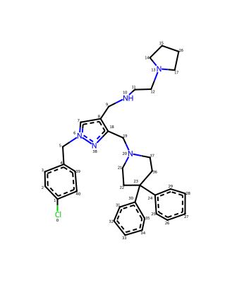 Clc1ccc(Cn2cc(CNCCN3CCCC3)c(CN3CCC(c4ccccc4)(c4ccccc4)CC3)n2)cc1